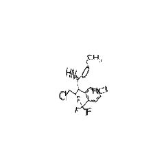 CCOC(=N)C(CCCl)c1ccccc1C(F)(F)F.Cl